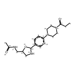 CCC(=O)N1CCN(c2ccc(C3NCC(CNC(C)=O)O3)cn2)CC1